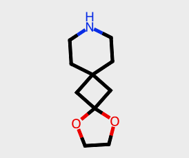 C1CC2(CCN1)CC1(C2)OCCO1